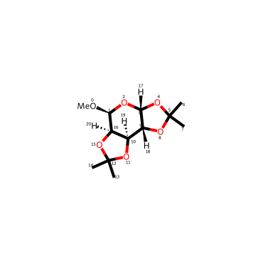 CO[C@H]1O[C@@H]2OC(C)(C)O[C@@H]2[C@H]2OC(C)(C)O[C@@H]12